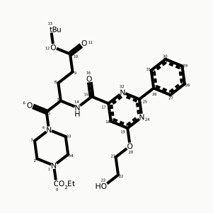 CCOC(=O)N1CCN(C(=O)C(CCC(=O)OC(C)(C)C)NC(=O)c2cc(OCCO)nc(-c3ccccc3)n2)CC1